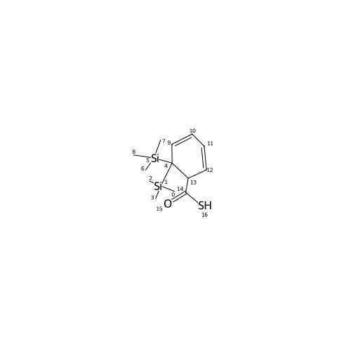 C[Si](C)(C)C1([Si](C)(C)C)C=CC=CC1C(=O)S